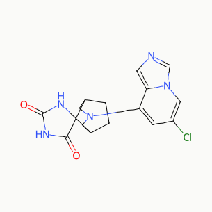 O=C1NC(=O)C2(N1)C1CCC2CN(c2cc(Cl)cn3cncc23)C1